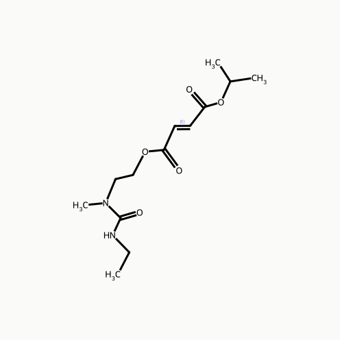 CCNC(=O)N(C)CCOC(=O)/C=C/C(=O)OC(C)C